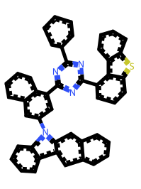 c1ccc(-c2nc(-c3cc(-n4c5ccccc5c5cc6ccccc6cc54)cc4ccccc34)nc(-c3cccc4sc5ccccc5c34)n2)cc1